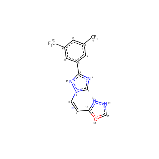 FC(F)(F)c1cc(-c2ncn(/C=C\c3nnco3)n2)cc(C(F)(F)F)c1